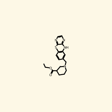 CCOC(=O)[C]1[CH]N(Cc2ccc3c(c2)Nc2nccnc2S3)CCC1